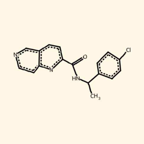 CC(NC(=O)c1ccc2cnccc2n1)c1ccc(Cl)cc1